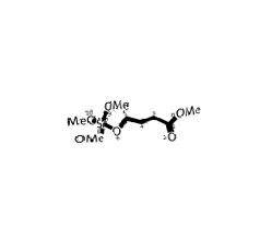 COC(=O)CCCO[Si](OC)(OC)OC